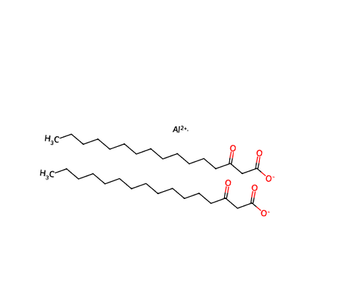 CCCCCCCCCCCCCC(=O)CC(=O)[O-].CCCCCCCCCCCCCC(=O)CC(=O)[O-].[Al+2]